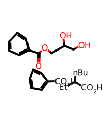 CCCCC(CC)C(=O)O.O=C(O)c1ccccc1.O=C(OCC(O)CO)c1ccccc1